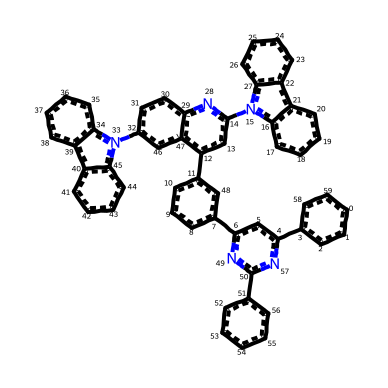 c1ccc(-c2cc(-c3cccc(-c4cc(-n5c6ccccc6c6ccccc65)nc5ccc(-n6c7ccccc7c7ccccc76)cc45)c3)nc(-c3ccccc3)n2)cc1